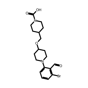 O=Cc1c(Br)cccc1N1CCC(OCC2CCN(C(=O)O)CC2)CC1